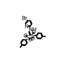 Cc1ccc(S(=O)(=O)C(=CNc2ccc(Br)cn2)S(=O)(=O)c2ccc(C)cc2)cc1